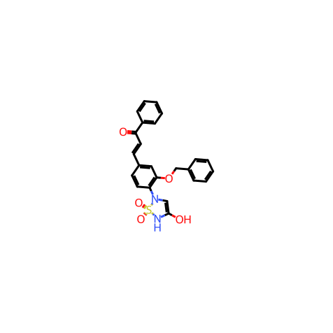 O=C(C=Cc1ccc(N2C=C(O)NS2(=O)=O)c(OCc2ccccc2)c1)c1ccccc1